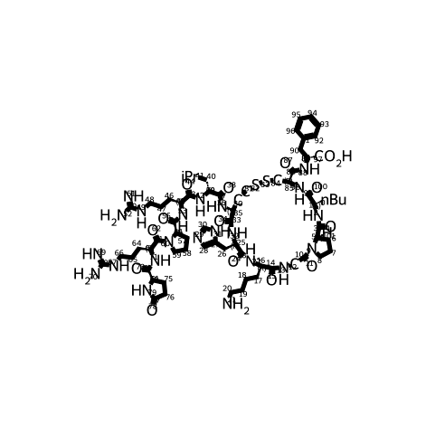 CCCC[C@@H]1NC(=O)[C@H]2CCCN2C(=O)CNC(=O)[C@@H](CCCCN)NC(=O)[C@@H](Cc2cnc[nH]2)NC(=O)[C@@H](NC(=O)[C@@H](CC(C)C)NC(=O)[C@H](CCCNC(=N)N)NC(=O)[C@H]2CCCN2C(=O)[C@H](CCCNC(=N)N)NC(=O)[C@H]2CCC(=O)N2)CCSSC[C@@H](C(=O)N[C@H](Cc2ccccc2)C(=O)O)NC1=O